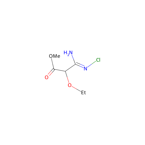 CCOC(C(=O)OC)C(N)=NCl